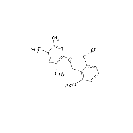 CCOc1cccc(OC(C)=O)c1COc1cc(C)c(C)cc1C